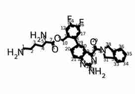 NCCCC[C@H](N)C(=O)OCc1cc(F)c(F)cc1-c1ccc2nc(N)nc(C(=O)N3Cc4ccccc4C3)c2c1